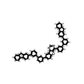 c1cc(-c2cccc(-c3ccc4oc5c(-c6cccc(-c7cccc(-c8ccc9c(c8)Cc8ccccc8-9)c7)c6)ncnc5c4c3)c2)cc(-c2ccc3c(c2)Cc2ccccc2-3)c1